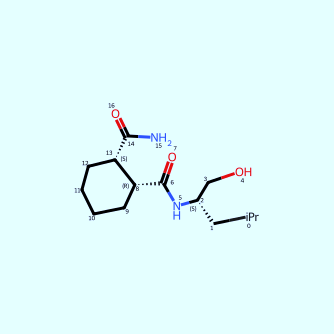 CC(C)C[C@@H](CO)NC(=O)[C@@H]1CCCC[C@@H]1C(N)=O